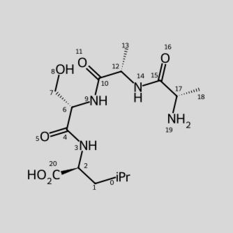 CC(C)C[C@H](NC(=O)[C@H](CO)NC(=O)[C@H](C)NC(=O)[C@H](C)N)C(=O)O